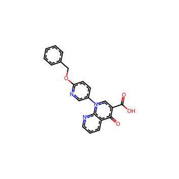 O=C(O)c1cn(-c2ccc(OCc3ccccc3)nc2)c2ncccc2c1=O